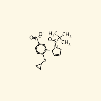 CC(C)(C)[S+]([O-])N1CC=C[C@@H]1c1cc([N+](=O)[O-])ccc1SC1CC1